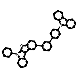 c1ccc(-n2c3ccccc3c3c4cc(-c5cccc(-c6ccc(-n7c8ccccc8c8ccccc87)cc6)c5)ccc4oc32)cc1